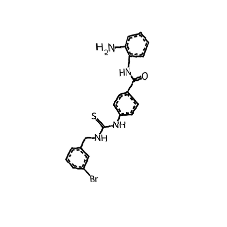 Nc1ccccc1NC(=O)c1ccc(NC(=S)NCc2cccc(Br)c2)cc1